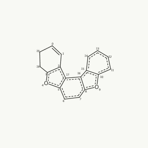 C1=Cc2c(oc3ccc4oc5ccccc5c4c23)CC1